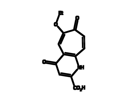 CCOc1cc2c(=O)cc(C(=O)O)[nH]c2ccc1=O